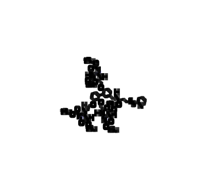 CC(C)(C)OC(=O)/N=C(/NCCOc1ccc(CNC(=O)CCSSc2ccccn2)cc1-c1cccc(OCCN/C(=N\C(=O)OC(C)(C)C)NC(=O)OC(C)(C)C)c1OCCN/C(=N/C(=O)OC(C)(C)C)NC(=O)OC(C)(C)C)NC(=O)OC(C)(C)C